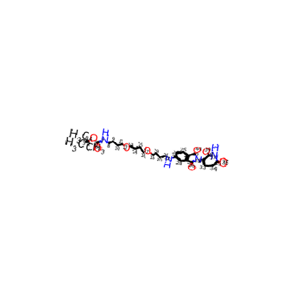 CC(C)(C)OC(=O)NCCCCOCCCCOCCCCNc1ccc2c(c1)C(=O)N(C1CCC(=O)NC1=O)C2=O